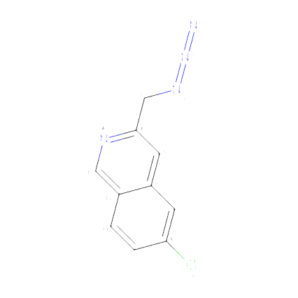 [N-]=[N+]=NCc1cc2cc(Cl)ccc2cn1